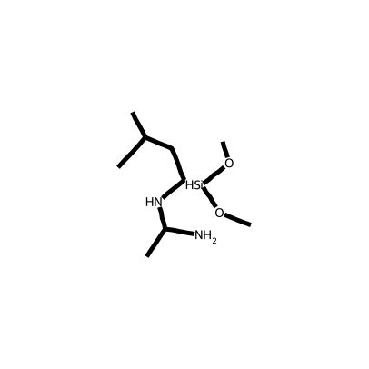 CO[SiH](OC)C(CC(C)C)NC(C)N